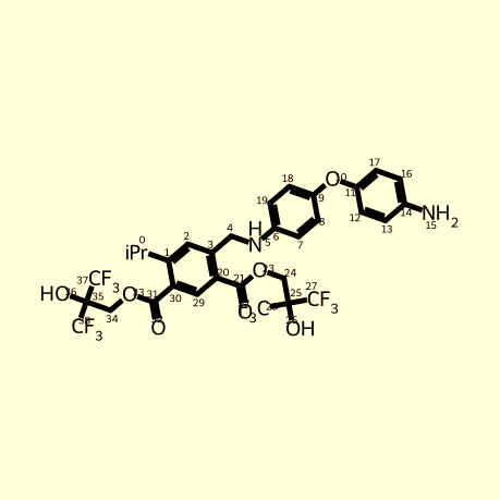 CC(C)c1cc(CNc2ccc(Oc3ccc(N)cc3)cc2)c(C(=O)OCC(O)(C(F)(F)F)C(F)(F)F)cc1C(=O)OCC(O)(C(F)(F)F)C(F)(F)F